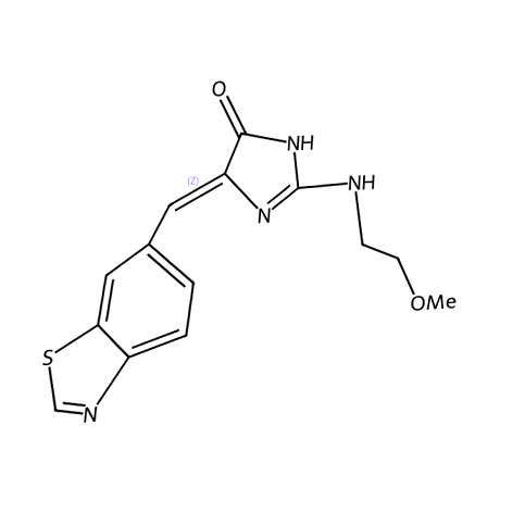 COCCNC1=N/C(=C\c2ccc3ncsc3c2)C(=O)N1